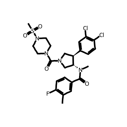 Cc1cc(C(=O)N(C)[C@@H]2CN(C(=O)N3CCN(S(C)(=O)=O)CC3)C[C@H]2c2ccc(Cl)c(Cl)c2)ccc1F